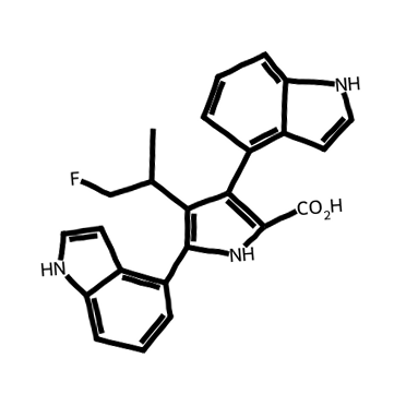 CC(CF)c1c(-c2cccc3[nH]ccc23)[nH]c(C(=O)O)c1-c1cccc2[nH]ccc12